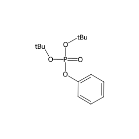 CC(C)(C)OP(=O)(Oc1ccccc1)OC(C)(C)C